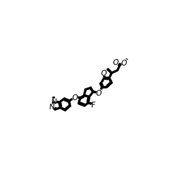 COC(=O)CC1COc2cc(OC3CCc4c(Oc5ccc6cnn(C)c6c5)ccc(F)c43)ccc21